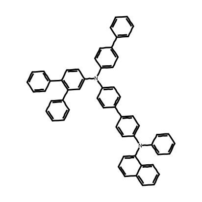 c1ccc(-c2ccc(N(c3ccc(-c4ccc(N(c5ccccc5)c5cccc6ccccc56)cc4)cc3)c3ccc(-c4ccccc4)c(-c4ccccc4)c3)cc2)cc1